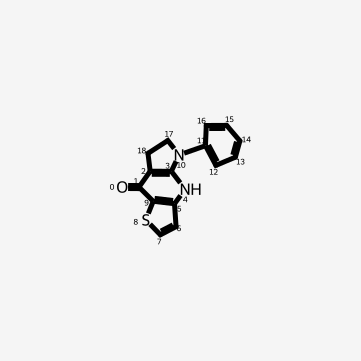 O=c1c2c([nH]c3ccsc13)N(c1ccccc1)CC2